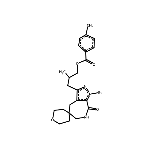 CCn1nc(CC(C)COC(=O)c2ccc(C)cc2)c2c1C(=O)NCC1(CCOCC1)C2